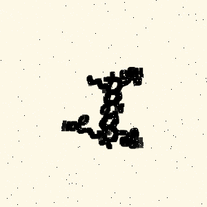 CCCCN1c2cc3c(cc2C(CS(=O)(=O)O)CC1(C)C)N=c1cc2c(cc1O3)=[N+](CCCC(=O)O)C(C)(C)CC2CS(=O)(=O)O